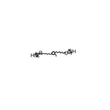 CCc1cc(CCCCCCCOC2CC(C)(C)NC(C)(C)C2)ccc1CCCCCCCOC1CC(C)(C)NC(C)(C)C1